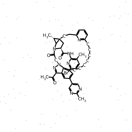 CC(=O)c1nn2c3c(cc(-c4cnc(C)nc4)cc13)CCCCCCCc1cccc(n1)CC[C@@]13C[C@@H](C(=O)Nc4nc(Br)ccc4C)N(C(=O)C2)C1[C@@H]3C